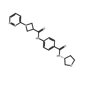 O=C(N[C@@H]1CCOC1)c1ccc(NC(=O)C2CN(c3cccnn3)C2)cc1